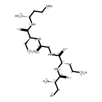 CSCC[C@H](NC(=O)[C@H](CC(=O)O)NC(=O)CNC(=O)[C@H](CCC(=O)O)NC(=O)[C@@H](N)CC(C)C)C(=O)O